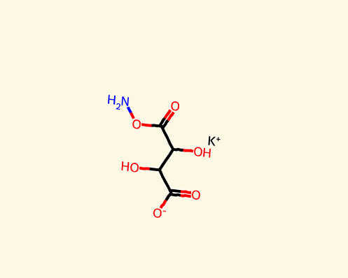 NOC(=O)C(O)C(O)C(=O)[O-].[K+]